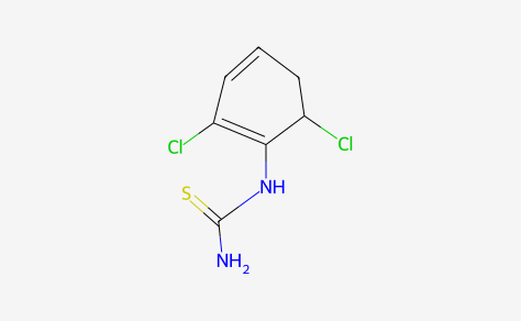 NC(=S)NC1=C(Cl)C=CCC1Cl